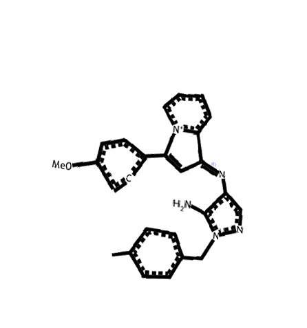 COc1ccc(C2=C/C(=N\c3cnn(Cc4ccc(C)cc4)c3N)c3cccc[n+]32)cc1